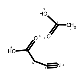 CC(=O)O.N#CCC(=O)O